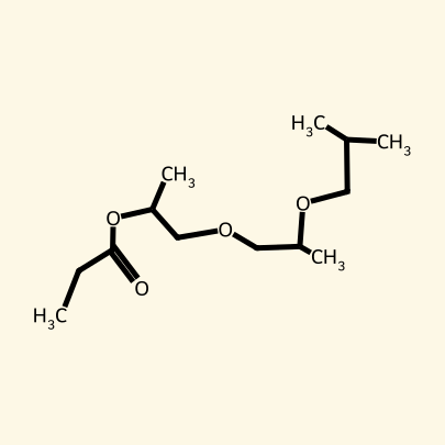 CCC(=O)OC(C)COCC(C)OCC(C)C